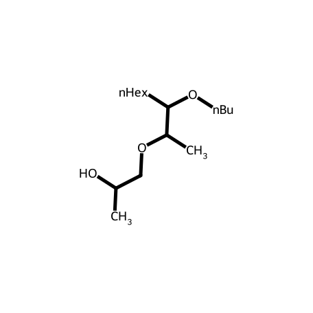 CCCCCCC(OCCCC)C(C)OCC(C)O